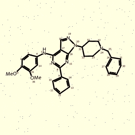 COc1ccc(Nc2nc(-c3ccccc3)nc3c2cnn3C2CCN(Cc3ccccc3)CC2)cc1OC